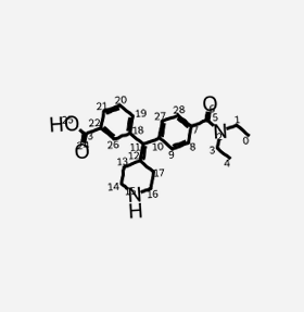 CCN(CC)C(=O)c1ccc(C(=C2CCNCC2)c2cccc(C(=O)O)c2)cc1